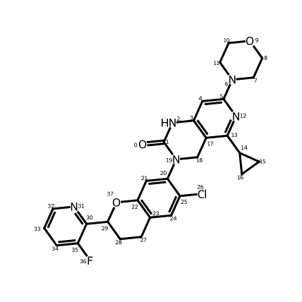 O=C1Nc2cc(N3CCOCC3)nc(C3CC3)c2CN1c1cc2c(cc1Cl)CCC(c1ncccc1F)O2